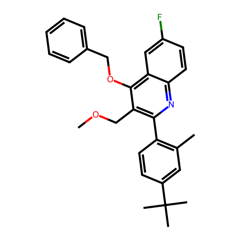 COCc1c(-c2ccc(C(C)(C)C)cc2C)nc2ccc(F)cc2c1OCc1ccccc1